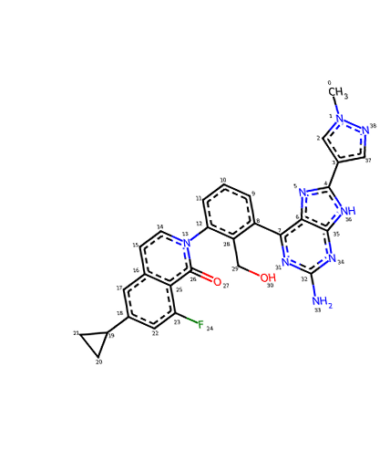 Cn1cc(-c2nc3c(-c4cccc(-n5ccc6cc(C7CC7)cc(F)c6c5=O)c4CO)nc(N)nc3[nH]2)cn1